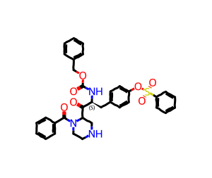 O=C(N[C@@H](Cc1ccc(OS(=O)(=O)c2ccccc2)cc1)C(=O)C1CNCCN1C(=O)c1ccccc1)OCc1ccccc1